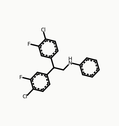 Fc1cc([C](CNc2ccccc2)c2ccc(Cl)c(F)c2)ccc1Cl